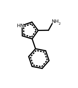 NCc1c[nH]cc1-c1ccccc1